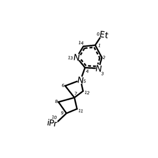 CCc1cnc(N2CC3(CC(C(C)C)C3)C2)nc1